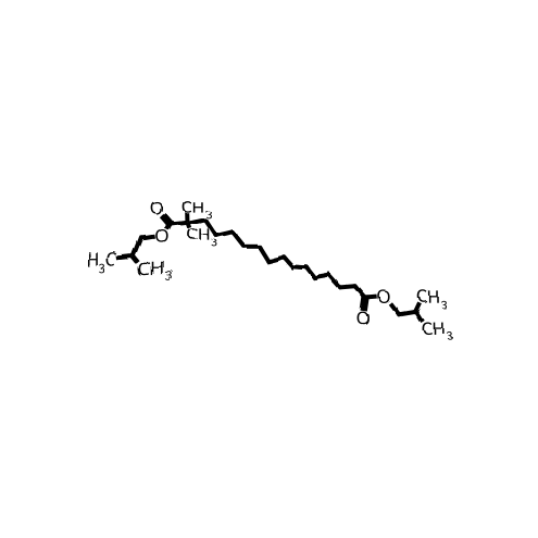 CC(C)COC(=O)CCCCCCCCCCCCCC(C)(C)C(=O)OCC(C)C